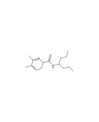 CCCC(CCC)NC(=O)C1CC=C(C)C(C)=N1